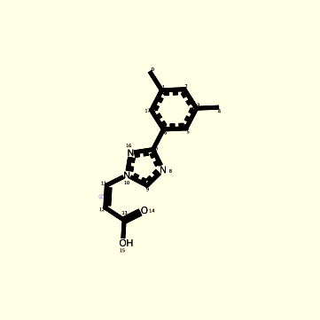 Cc1cc(C)cc(-c2ncn(/C=C\C(=O)O)n2)c1